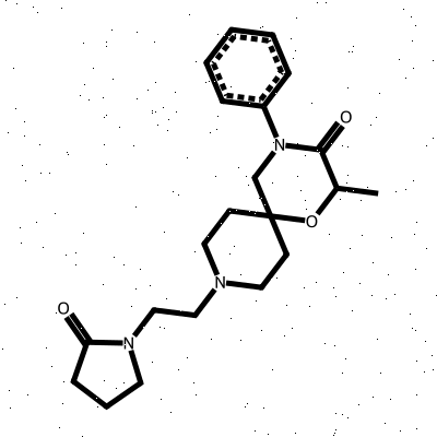 CC1OC2(CCN(CCN3CCCC3=O)CC2)CN(c2ccccc2)C1=O